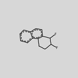 FC1CCc2c(ccc3ccccc23)C1F